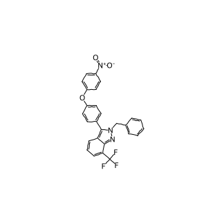 O=[N+]([O-])c1ccc(Oc2ccc(-c3c4cccc(C(F)(F)F)c4nn3Cc3ccccc3)cc2)cc1